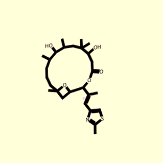 C/C(=C\c1csc(C)n1)C1OC(=O)CC(O)C(C)(C)CC(C)C(O)C(C)CCCC2(C)CC1O2